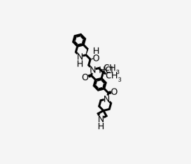 CC1(C)CN(C[C@@H](O)[C@@H]2Cc3ccccc3CN2)C(=O)c2ccc(C(=O)N3CCC4(CC3)CNC4)cc21.Cl